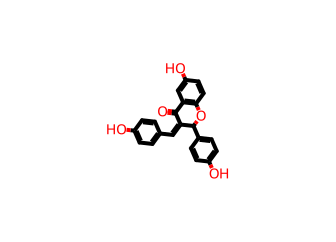 O=C1C(=Cc2ccc(O)cc2)C(c2ccc(O)cc2)Oc2ccc(O)cc21